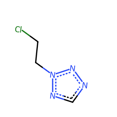 ClCCn1ncnn1